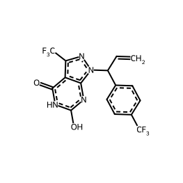 C=CC(c1ccc(C(F)(F)F)cc1)n1nc(C(F)(F)F)c2c(=O)[nH]c(O)nc21